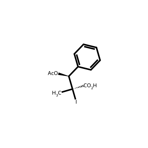 CC(=O)O[C@@H](c1ccccc1)[C@](C)(I)C(=O)O